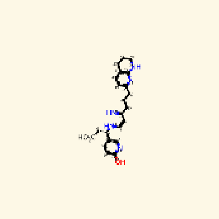 N=C(/C=C\N[C@@H](CC(=O)O)c1ccc(O)nc1)CCCc1ccc2c(n1)NCCC2